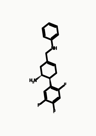 N[C@@H]1CC(CNc2ccccc2)=CC[C@H]1c1cc(F)c(F)cc1F